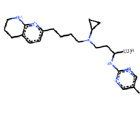 O=C(O)C(CCN(CCCCc1ccc2c(n1)NCCC2)C1CC1)Nc1ncc(C(F)(F)F)cn1